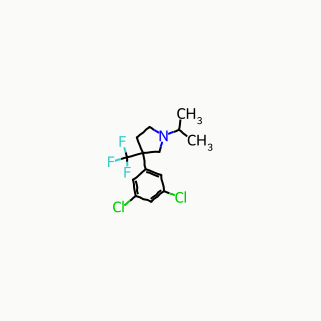 CC(C)N1CCC(c2cc(Cl)cc(Cl)c2)(C(F)(F)F)C1